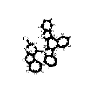 Clc1nc(-n2c3ccccc3c3c4ccccc4c4c5ccccc5sc4c32)c2c(n1)oc1ccccc12